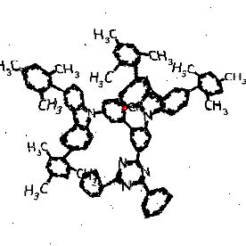 Cc1cc(C)c(-c2ccc3c(c2)c2cc(-c4c(C)cc(C)cc4C)ccc2n3-c2ccc(C#N)c(-c3cc(-c4nc(-c5ccccc5)nc(-c5ccccc5)n4)ccc3-n3c4ccc(-c5c(C)cc(C)cc5C)cc4c4cc(-c5c(C)cc(C)cc5C)ccc43)c2)c(C)c1